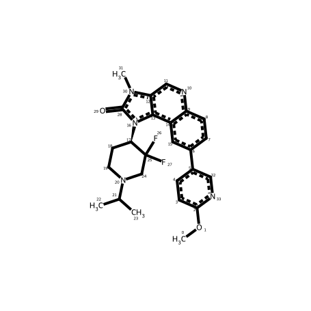 COc1ccc(-c2ccc3ncc4c(c3c2)n([C@@H]2CCN(C(C)C)CC2(F)F)c(=O)n4C)cn1